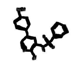 COc1ccc(-c2cnc(Cl)c(NS(=O)(=O)c3ccccc3)c2)cc1